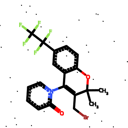 CC1(C)Oc2ccc(C(F)(F)C(F)(F)F)cc2C(n2ccccc2=O)=C1CBr